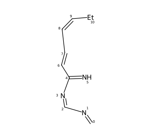 C=N/C=N\C(=N)/C=C/C=C\CC